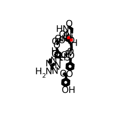 Nc1ncnc2c1ncn2[C@@H]1O[C@@H]2COP(=O)(O)O[C@H]3C(n4ccc(=O)[nH]c4=O)O[C@H](CO[P@@](=O)(SCc4ccc(OC(=O)c5ccc(O)cc5)cc4)O[C@H]2[C@H]1F)[C@H]3F